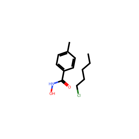 CCCCCCl.Cc1ccc(C(=O)NO)cc1